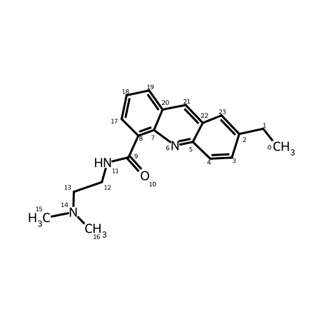 CCc1ccc2nc3c(C(=O)NCCN(C)C)cccc3cc2c1